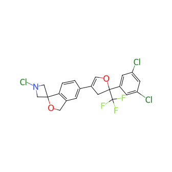 FC(F)(F)C1(c2cc(Cl)cc(Cl)c2)CC(c2ccc3c(c2)COC32CN(Cl)C2)=CO1